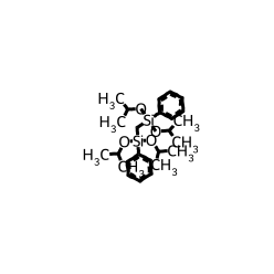 CC(C)O[Si](C[Si](OC(C)C)(OC(C)C)c1ccccc1)(OC(C)C)c1ccccc1